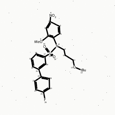 COc1cc([N+](=O)[O-])ccc1N(CCCOC(C)(C)C)S(=O)(=O)c1cccc(-c2ccc(F)cc2)c1